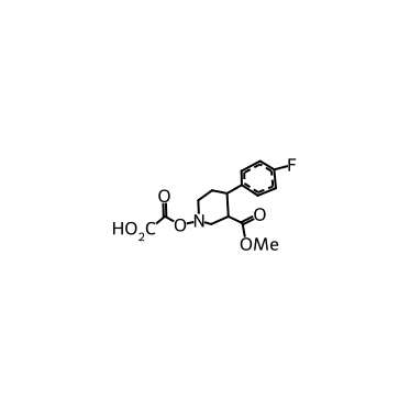 COC(=O)C1CN(OC(=O)C(=O)O)CCC1c1ccc(F)cc1